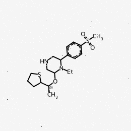 CCN1C(O[C@@H](C)C2CCCS2)CNCC1c1ccc(S(C)(=O)=O)cc1